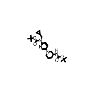 CC(C)(C)OC(=O)NC1CCCN(c2ccc(N(CC3CC3)C(=O)OC(C)(C)C)nc2)C1